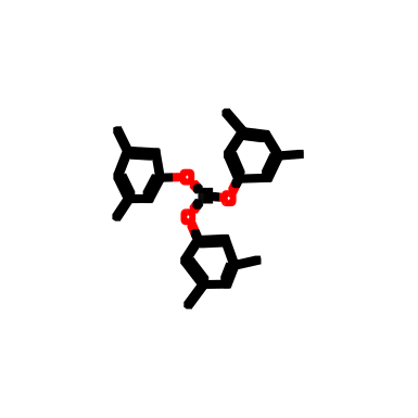 Cc1cc(C)cc([O][Bi]([O]c2cc(C)cc(C)c2)[O]c2cc(C)cc(C)c2)c1